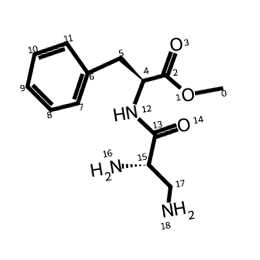 COC(=O)[C@H](Cc1ccccc1)NC(=O)[C@@H](N)CN